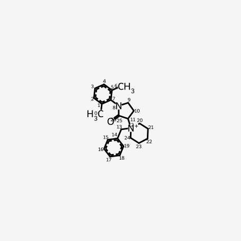 Cc1cccc(C)c1N1CCC([N+]2(Cc3ccccc3)CCCCC2)C1=O